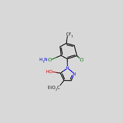 CCOC(=O)c1cnn(-c2c(Cl)cc(C(F)(F)F)cc2Cl)c1O.N